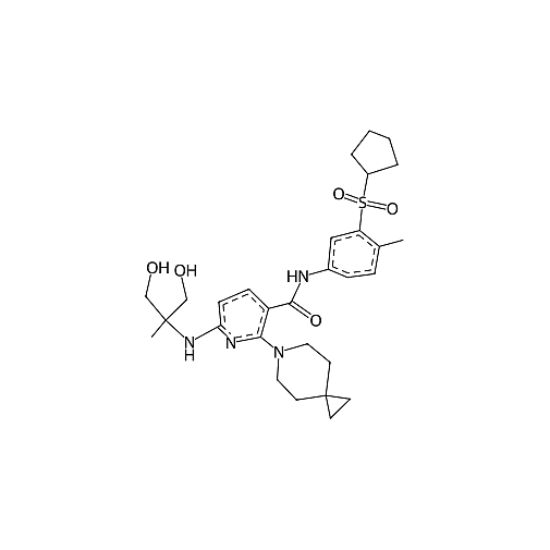 Cc1ccc(NC(=O)c2ccc(NC(C)(CO)CO)nc2N2CCC3(CC2)CC3)cc1S(=O)(=O)C1CCCC1